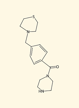 O=C(c1ccc(CN2CCSCC2)cc1)N1CCNCC1